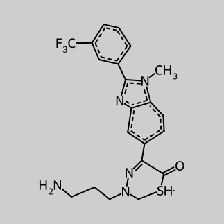 Cn1c(-c2cccc(C(F)(F)F)c2)nc2cc(C3=NN(CCCN)C[SH]C3=O)ccc21